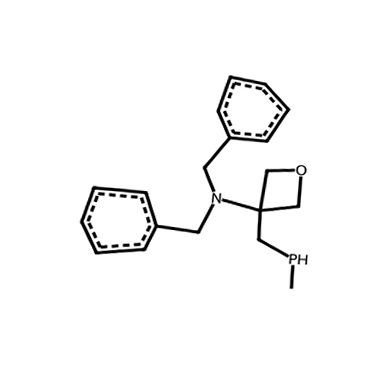 CPCC1(N(Cc2ccccc2)Cc2ccccc2)COC1